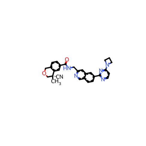 C[C@@]1(C#N)COCc2ccc(C(=O)NCc3cc4cc(-c5nccc(N6CCC6)n5)ccc4cn3)cc21